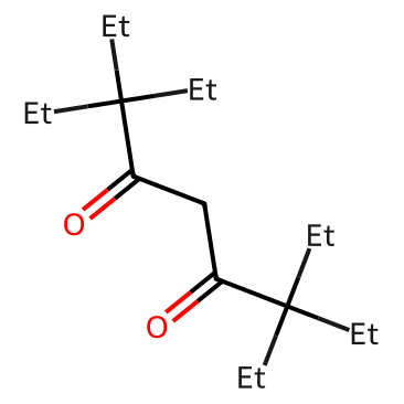 CCC(CC)(CC)C(=O)CC(=O)C(CC)(CC)CC